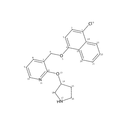 Clc1ccc(OCc2cccnc2OC2CCNC2)c2ccccc12